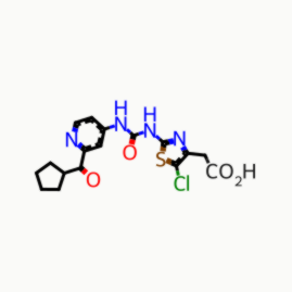 O=C(O)Cc1nc(NC(=O)Nc2ccnc(C(=O)C3CCCC3)c2)sc1Cl